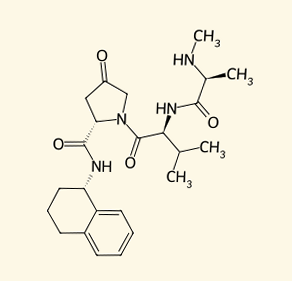 CN[C@@H](C)C(=O)N[C@H](C(=O)N1CC(=O)C[C@H]1C(=O)N[C@H]1CCCc2ccccc21)C(C)C